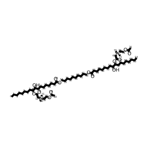 CCCCCCCCC(OC(=O)C[N+](C)(C)CCOC(C)=O)C(O)CCCCCCCC(=O)OCCCCCCCCCCOC(=O)CCCCCCCC(O)C(CCCCCCCC)OC(=O)C[N+](C)(C)CCOC(C)=O